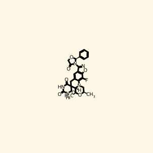 C[C@@H]1CN2c3c(cc4c(N5C(=O)CO[C@H]5c5ccccc5)noc4c3F)CC3(C(=O)NC(=O)NC3=O)[C@H]2[C@H](C)O1